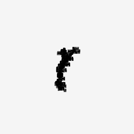 CC(=O)C[C@H](NC(=O)[C@H](CCCNC(=N)N)NC(=O)C[C@H](NC(=O)C[C@H](NC(=O)c1ccc(NCc2cnc3nc(N)[nH]c(=O)c3n2)cc1)C(=O)O)C(=O)O)C(=O)O